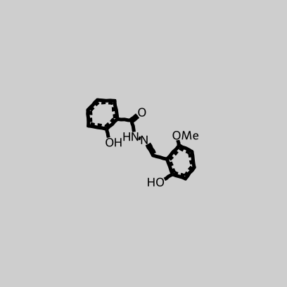 COc1cccc(O)c1C=NNC(=O)c1ccccc1O